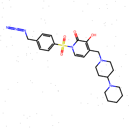 [N-]=[N+]=NCc1ccc(S(=O)(=O)n2ccc(CN3CCC(N4CCCCC4)CC3)c(O)c2=O)cc1